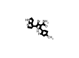 Cc1ccc(-c2[nH]c(-c3ccnc4[nH]ccc34)c(Br)c2C(N)=O)c(F)c1